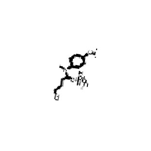 CN(C(=O)CCCCl)c1cc[c]([Ge])cc1.O.O.O